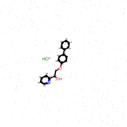 Cl.OC(COc1ccc(-c2ccccc2)cc1)c1ccccn1